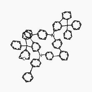 c1ccc(-c2ccc(N(c3ccc(-c4ccccc4-c4ccc(N(c5ccc(-c6ccccc6)cc5)c5ccc6c(c5)C(c5ccccc5)(c5ccccc5)c5ccccc5-6)cc4)cc3)c3ccc4c(c3)C(c3ccccc3)(c3ccccc3)c3ccccc3-4)cc2)cc1